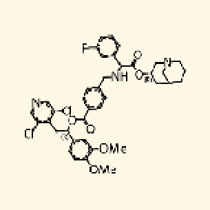 COc1ccc([C@@H](Cc2c(Cl)cncc2Cl)OC(=O)c2ccc(CNC(C(=O)O[C@@H]3CC4CCCN(C4)C3)c3cccc(F)c3)cc2)cc1OC